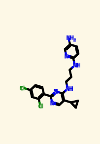 Nc1ccc(NCCCNc2nc(-c3ccc(Cl)cc3Cl)ncc2C2CC2)nc1